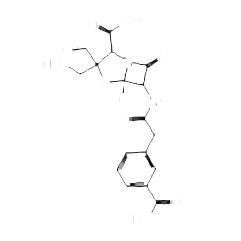 CCC1(CC)S[C@H]2C(NC(=O)Cc3cccc(C(=O)O)c3)C(=O)N2C1C(=O)O